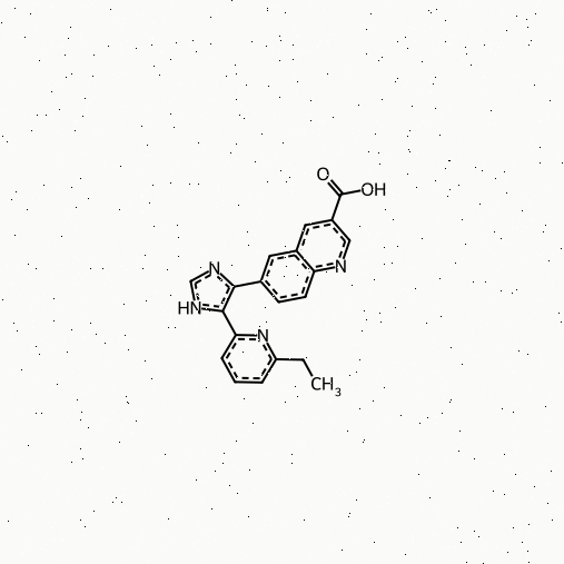 CCc1cccc(-c2[nH]cnc2-c2ccc3ncc(C(=O)O)cc3c2)n1